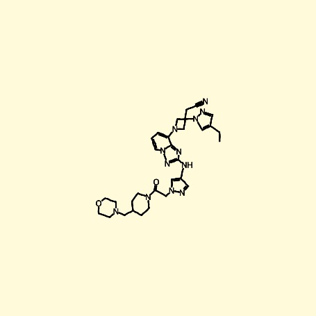 CCc1cnn(C2(CC#N)CN(c3cccn4nc(Nc5cnn(CC(=O)N6CCC(CN7CCOCC7)CC6)c5)nc34)C2)c1